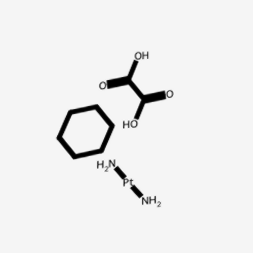 C1CCCCC1.O=C(O)C(=O)O.[NH2][Pt][NH2]